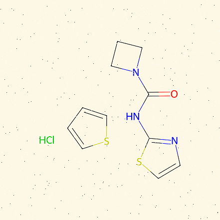 Cl.O=C(Nc1nccs1)N1CCC1.c1ccsc1